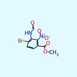 COC(=O)c1ccc(Br)c(NC=O)c1[N+](=O)[O-]